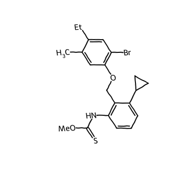 CCc1cc(Br)c(OCc2c(NC(=S)OC)cccc2C2CC2)cc1C